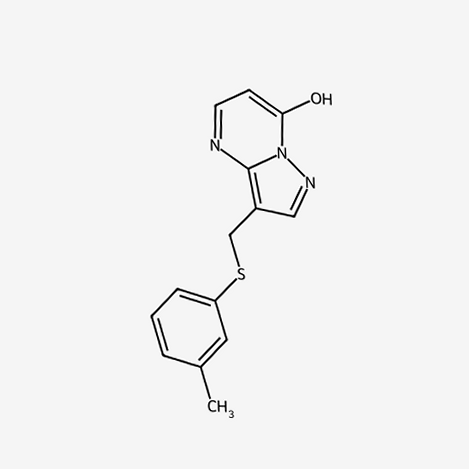 Cc1cccc(SCc2cnn3c(O)ccnc23)c1